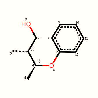 C[C@H](CO)[C@H](C)Oc1ccccc1